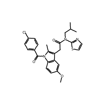 COc1ccc2c(c1)c(CC(=O)N(CC(C)C)c1nccs1)c(C)n2C(=O)c1ccc(Cl)cc1